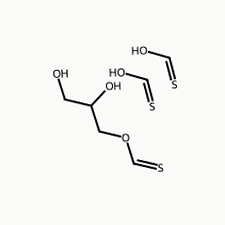 OC=S.OC=S.OCC(O)COC=S